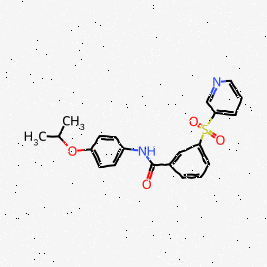 CC(C)Oc1ccc(NC(=O)c2cccc(S(=O)(=O)c3cccnc3)c2)cc1